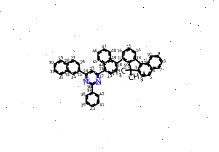 CC1(C)c2ccc3ccccc3c2-c2cccc(-c3ccc(-c4cc(-c5ccc6ccccc6c5)nc(-c5ccccc5)n4)c4ccccc34)c21